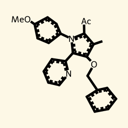 COc1ccc(-n2c(C(C)=O)c(C)c(OCc3ccccc3)c2-c2ccccn2)cc1